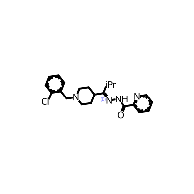 CC(C)/C(=N\NC(=O)c1ccccn1)C1CCN(Cc2ccccc2Cl)CC1